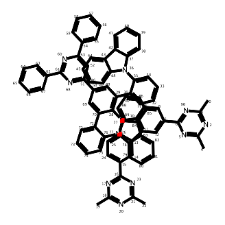 Cc1nc(C)nc(-c2ccc3c(c2)c2cc(-c4nc(C)nc(C)n4)ccc2n3-c2c(-c3ccccc3-n3c4ccccc4c4ccccc43)cc(-c3cc(-c4ccccc4)nc(-c4ccccc4)n3)cc2-c2ccccc2-n2c3ccccc3c3ccccc32)n1